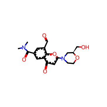 CN(C)C(=O)c1cc(C=O)c2oc(N3CCO[C@H](CO)C3)cc(=O)c2c1